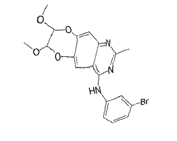 COC1Oc2cc3nc(C)nc(Nc4cccc(Br)c4)c3cc2OC1OC